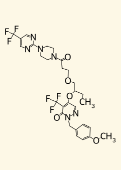 CCC(COCCC(=O)N1CCN(c2ncc(C(F)(F)F)cn2)CC1)Oc1cnn(Cc2ccc(OC)cc2)c(=O)c1C(F)(F)F